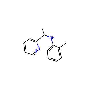 Cc1ccccc1NC(C)c1ccccn1